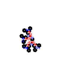 O=C(OCc1ccccc1)C(Cc1c[nH]c2ccccc12)N(C(=O)Oc1ccnc(OC(=O)N(C(Cc2c[nH]c3ccccc23)C(=O)OCc2ccccc2)C(Cc2c[nH]c3ccccc23)C(=O)OCc2ccccc2)c1)C(Cc1c[nH]c2ccccc12)C(=O)OCc1ccccc1